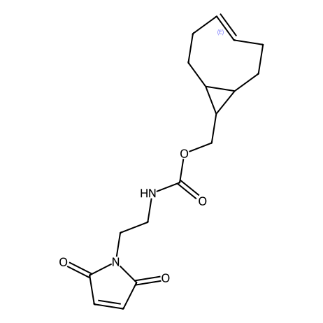 O=C(NCCN1C(=O)C=CC1=O)OCC1C2CC/C=C/CCC21